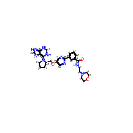 O=C(NCCN1CCOCC1)c1cccc(-c2ncc(OC[C@H]3CCCN3C3=c4nc[nH]c4=NCN3)cn2)c1